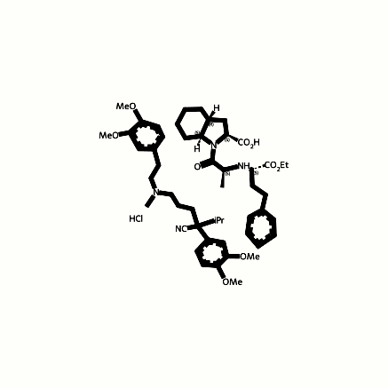 CCOC(=O)[C@H](CCc1ccccc1)N[C@@H](C)C(=O)N1[C@H](C(=O)O)C[C@H]2CCCC[C@@H]21.COc1ccc(CCN(C)CCCC(C#N)(c2ccc(OC)c(OC)c2)C(C)C)cc1OC.Cl